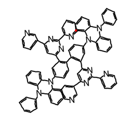 c1ccc(N2c3ccccc3N(c3ccc(-c4ccc(N5c6ccccc6N(c6ccccc6)c6ccccc65)cc4-c4cc(-c5cccnc5)nc(-c5ccccn5)n4)c(-c4cc(-c5cccnc5)nc(-c5ccccn5)n4)c3)c3ccccc32)cc1